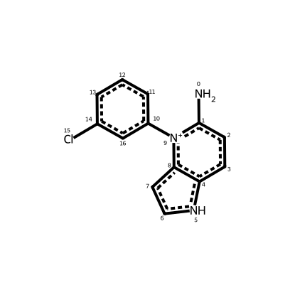 Nc1ccc2[nH]ccc2[n+]1-c1[c]ccc(Cl)c1